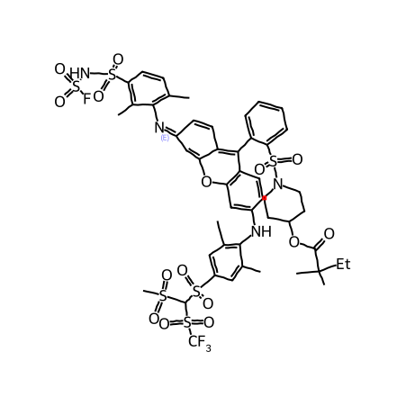 CCC(C)(C)C(=O)OC1CCN(S(=O)(=O)c2ccccc2-c2c3cc/c(=N\c4c(C)ccc(S(=O)(=O)NS(=O)(=O)F)c4C)cc-3oc3cc(Nc4c(C)cc(S(=O)(=O)C(S(C)(=O)=O)S(=O)(=O)C(F)(F)F)cc4C)ccc23)CC1